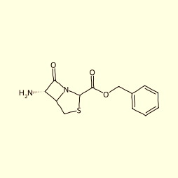 N[C@@H]1C(=O)N2C(C(=O)OCc3ccccc3)SCC12